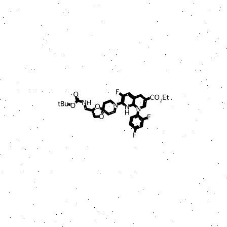 CCOC(=O)C1=CN(c2ccc(F)cc2F)C2NC(N3CCC4(CC3)OCC(CNC(=O)OC(C)(C)C)O4)=C(F)C=C2C1